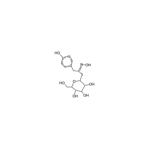 OCC1OC(S/C(Cc2ccc(O)cc2)=N\O)C(O)C(O)C1O